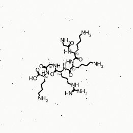 C[C@H](NC(=O)[C@H](CCCNC(=N)N)NC(=O)[C@H](CCCCN)NC(=O)[C@H](CCCCN)NC(=O)CN)C(=O)N[C@@H](CCCCN)C(=O)O